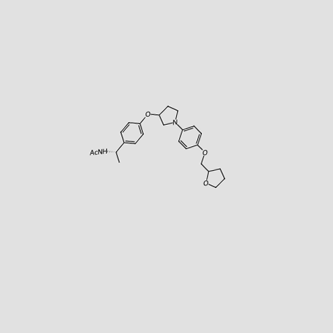 CC(=O)N[C@@H](C)c1ccc(OC2CCN(c3ccc(OCC4CCCO4)cc3)C2)cc1